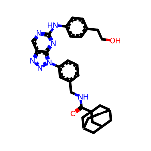 O=C(NCc1cccc(-n2nnc3cnc(Nc4ccc(CCO)cc4)nc32)c1)C12CC3CC(CC(C3)C1)C2